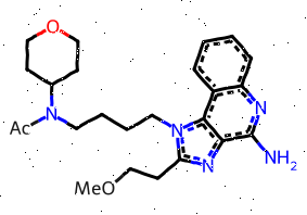 COCCc1nc2c(N)nc3ccccc3c2n1CCCCN(C(C)=O)C1CCOCC1